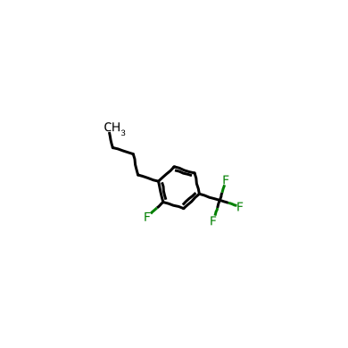 CCCCc1ccc(C(F)(F)F)cc1F